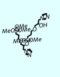 CO[Si](CCCOCC(Cn1ccnc1)O[Si](CCCOCC(O)Cn1ccnc1)(OC)OC)(OC)OC